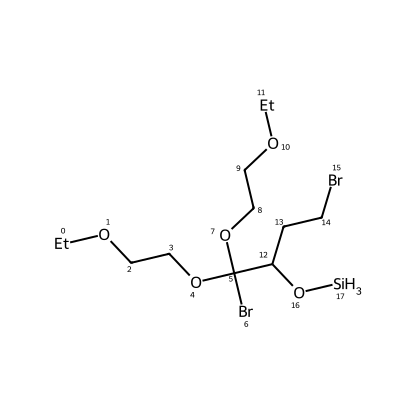 CCOCCOC(Br)(OCCOCC)C(CCBr)O[SiH3]